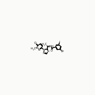 C[C@H](NC(=O)c1cc(Br)cc(I)c1)c1ncnn1-c1ccc(=O)n(C)n1